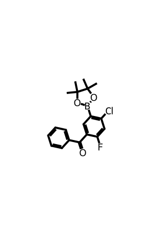 CC1(C)OB(c2cc(C(=O)c3ccccc3)c(F)cc2Cl)OC1(C)C